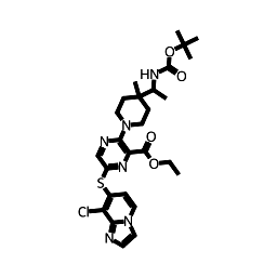 CCOC(=O)c1nc(Sc2ccn3ccnc3c2Cl)cnc1N1CCC(C)(C(C)NC(=O)OC(C)(C)C)CC1